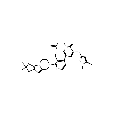 CC(=O)OCc1c(-c2cc(Nc3cc(C)n(C)n3)c(=O)n(C)c2)ccnc1N1CCn2c(cc3c2CC(C)(C)C3)C1